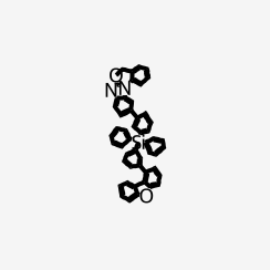 c1ccc([Si](c2ccccc2)(c2cccc(-c3ccc4nc5n(c4c3)-c3ccccc3CO5)c2)c2cccc(-c3cccc4oc5ccccc5c34)c2)cc1